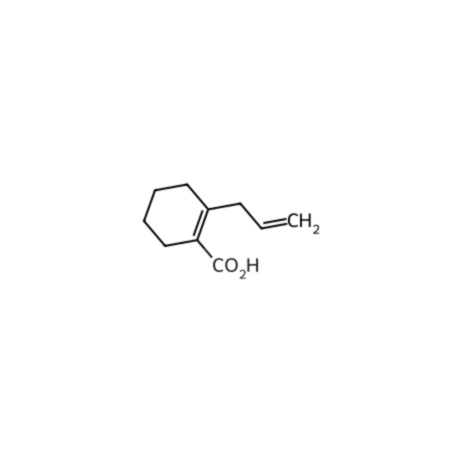 C=CCC1=C(C(=O)O)CCCC1